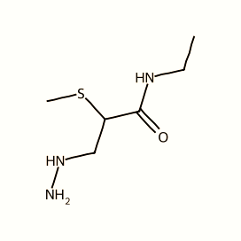 CCNC(=O)C(CNN)SC